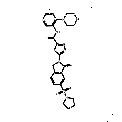 O=C(Nc1cnccc1N1CCNCC1)c1nnc(N2Cc3ccc(S(=O)(=O)N4CCCC4)cc3C2=O)s1